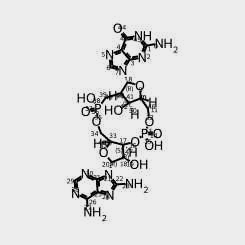 Nc1nc2c(ncn2[C@@H]2O[C@@H]3COP(=O)(O)O[C@H]4[C@@H](O)[C@H](n5c(N)nc6c(N)ncnc65)O[C@@H]4COP(=O)(O)C[C@@H]2[C@@H]3O)c(=O)[nH]1